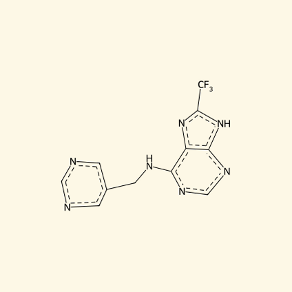 FC(F)(F)c1nc2c(NCc3cncnc3)ncnc2[nH]1